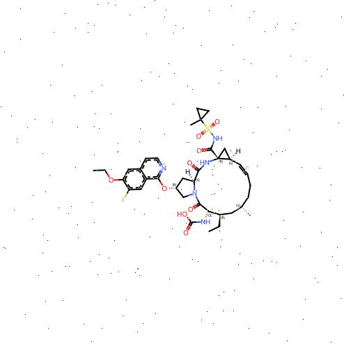 CCOc1cc2ccnc(O[C@@H]3C[C@H]4C(=O)N[C@]5(C(=O)NS(=O)(=O)C6(C)CC6)C[C@H]5/C=C\CC[C@H](C)C[C@@H](CC)[C@H](NC(=O)O)C(=O)N4C3)c2cc1F